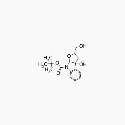 CC(C)(C)OC(=O)N1c2ccccc2[C@]2(O)C[C@@H](CO)OC12